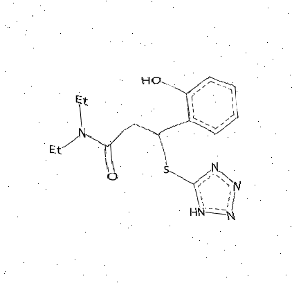 CCN(CC)C(=O)CC(Sc1nnn[nH]1)c1ccccc1O